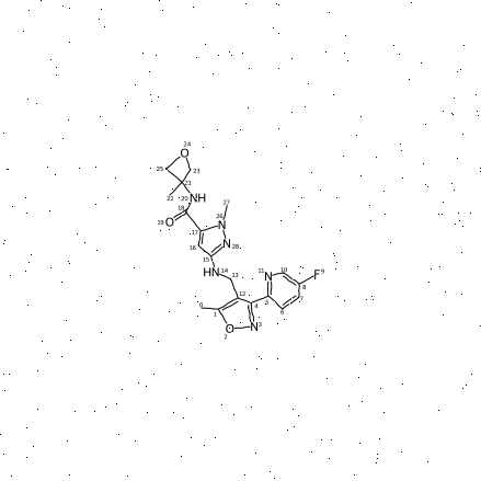 Cc1onc(-c2ccc(F)cn2)c1CNc1cc(C(=O)NC2(C)COC2)n(C)n1